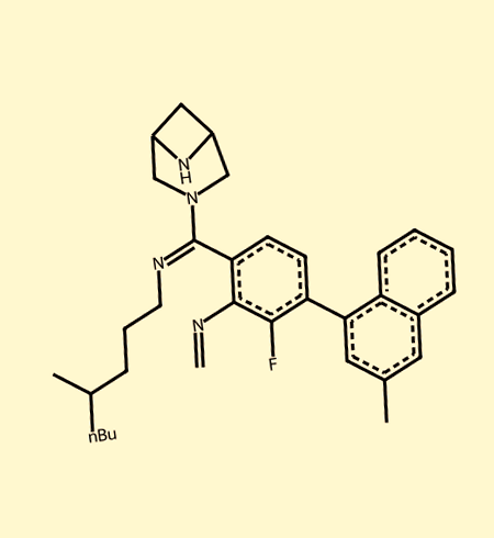 C=Nc1c(/C(=N\CCCC(C)CCCC)N2CC3CC(C2)N3)ccc(-c2cc(C)cc3ccccc23)c1F